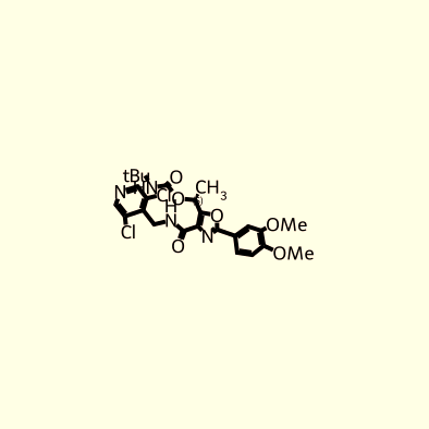 COc1ccc(-c2nc(C(=O)NCc3c(Cl)cncc3Cl)c([C@H](C)OC(=O)NC(C)(C)C)o2)cc1OC